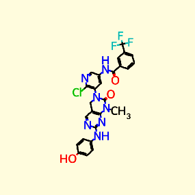 CN1C(=O)N(c2cc(NC(=O)c3cccc(C(F)(F)F)c3)cnc2Cl)Cc2cnc(Nc3ccc(O)cc3)nc21